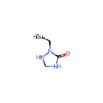 CCCCCN1NCNC1=O